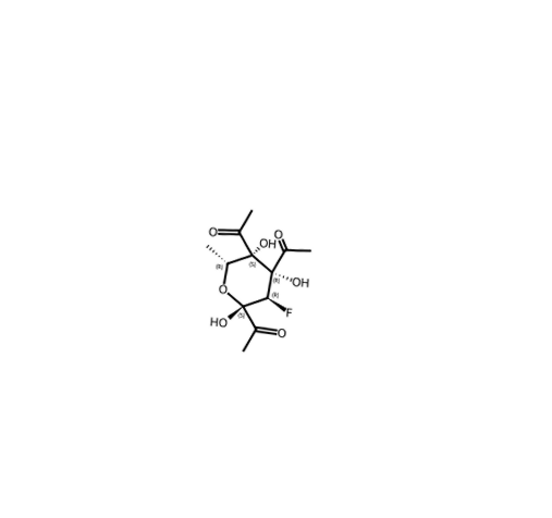 CC(=O)[C@]1(O)O[C@H](C)[C@@](O)(C(C)=O)[C@@](O)(C(C)=O)[C@H]1F